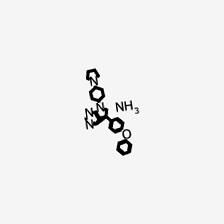 N.c1ccc(Oc2ccc(C34CN(C5CCC(N6CCCC6)CC5)c5ncnc3c54)cc2)cc1